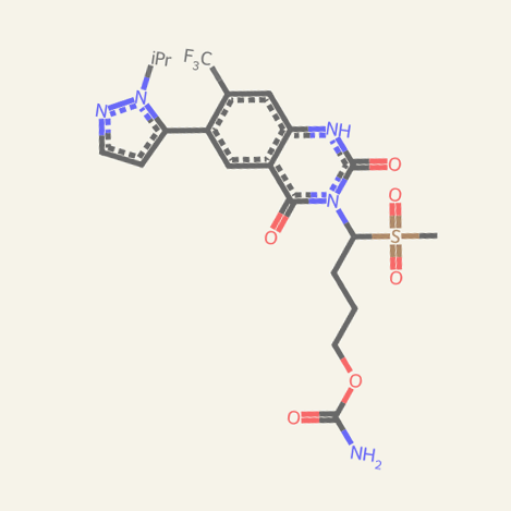 CC(C)n1nccc1-c1cc2c(=O)n(C(CCCOC(N)=O)S(C)(=O)=O)c(=O)[nH]c2cc1C(F)(F)F